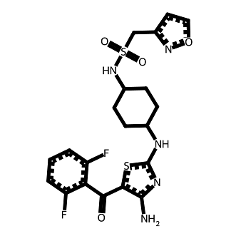 Nc1nc(NC2CCC(NS(=O)(=O)Cc3ccon3)CC2)sc1C(=O)c1c(F)cccc1F